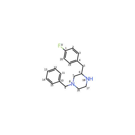 Fc1ccc(CC2CN(Cc3ccccc3)CCN2)cc1